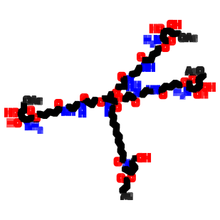 CC(=O)CCC(=O)O[C@@H]1C[C@@H](CO)N(C(=O)CCCCCCCCCCC(=O)NC(COCCC(=O)NCCCNC(=O)CCCCOC2OC(COC(C)=O)C(O)C(O)C2N)(COCCC(=O)NCCCNC(=O)CCCCOC2OC(COC(C)=O)C(O)C(O)C2N)COCCC(=O)NCCCNC(=O)CCCCOC2OC(COC(C)=O)C(O)C(O)C2N)C1